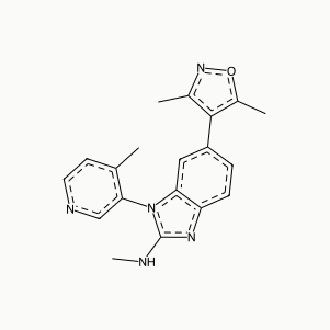 CNc1nc2ccc(-c3c(C)noc3C)cc2n1-c1cnccc1C